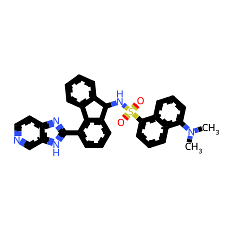 CN(C)c1cccc2c(S(=O)(=O)NC3c4ccccc4-c4c(-c5nc6ccncc6[nH]5)cccc43)cccc12